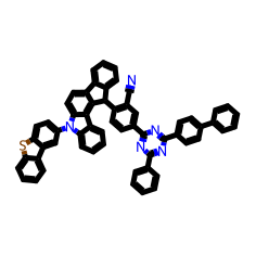 N#Cc1cc(-c2nc(-c3ccccc3)nc(-c3ccc(-c4ccccc4)cc3)n2)ccc1C1c2ccccc2-c2ccc3c(c21)c1ccccc1n3-c1ccc2sc3ccccc3c2c1